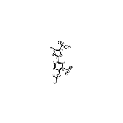 Cc1nc(-c2ccc(SC(C)C)c([N+](=O)[O-])c2)sc1C(=O)O